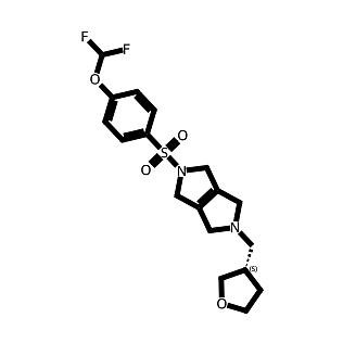 O=S(=O)(c1ccc(OC(F)F)cc1)N1CC2=C(CN(C[C@@H]3CCOC3)C2)C1